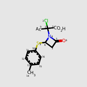 CC(=O)C(Cl)(C(=O)O)N1C(=O)CC1Sc1ccc(C)cc1